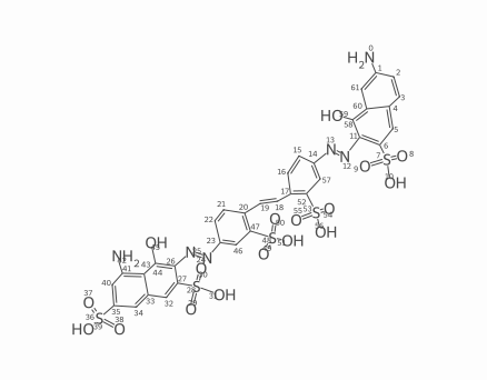 Nc1ccc2cc(S(=O)(=O)O)c(N=Nc3ccc(C=Cc4ccc(N=Nc5c(S(=O)(=O)O)cc6cc(S(=O)(=O)O)cc(N)c6c5O)cc4S(=O)(=O)O)c(S(=O)(=O)O)c3)c(O)c2c1